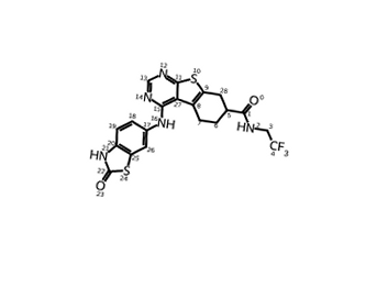 O=C(NCC(F)(F)F)C1CCc2c(sc3ncnc(Nc4ccc5[nH]c(=O)sc5c4)c23)C1